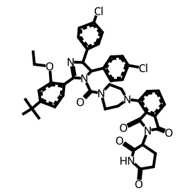 CCOc1cc(C(C)(C)C)ccc1C1=NC(c2ccc(Cl)cc2)C(c2ccc(Cl)cc2)N1C(=O)N1CCN(c2cccc3c2C(=O)N(C2CCC(=O)NC2=O)C3=O)CC1